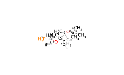 CC(C)[C@](C)(P)O[Si](C)(C)C(C)(C)O[Si](C)(C)C